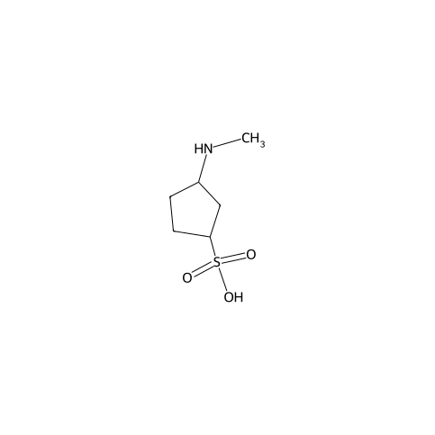 CNC1CCC(S(=O)(=O)O)C1